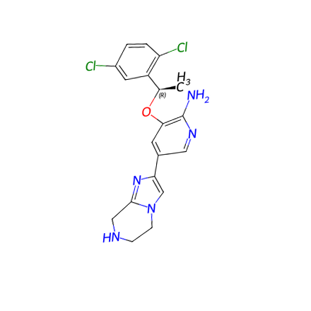 C[C@@H](Oc1cc(-c2cn3c(n2)CNCC3)cnc1N)c1cc(Cl)ccc1Cl